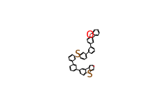 c1cc(Sc2cccc(-c3cccc(-c4ccc5sc6ccccc6c5c4)c3)c2)cc(-c2cccc(-c3ccc4oc5ccccc5c4c3)c2)c1